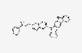 N=C(/N=C/c1ccc2cc(-n3c4ccccc4c4cc5c(cc43)[nH]c3ccccc35)ccc2c1)c1ccccc1